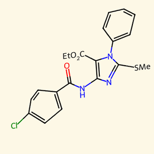 CCOC(=O)c1c(NC(=O)c2ccc(Cl)cc2)nc(SC)n1-c1ccccc1